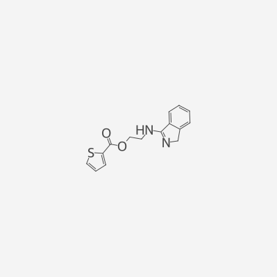 O=C(OCCNC1=NCc2ccccc21)c1cccs1